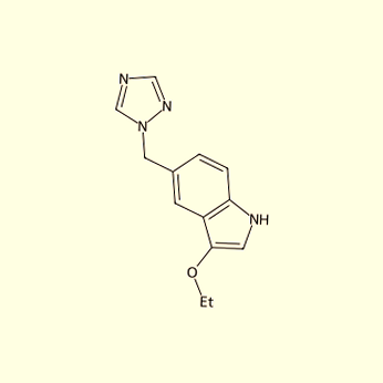 CCOc1c[nH]c2ccc(Cn3cncn3)cc12